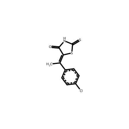 C/C(=C1/SC(=S)NC1=O)c1ccc(Cl)cc1